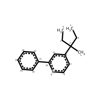 CCC(C)(CC)c1ccnc(-c2ccccc2)c1